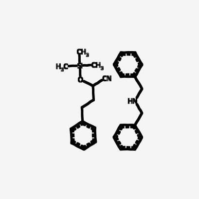 C[Si](C)(C)OC(C#N)CCc1ccccc1.c1ccc(CNCc2ccccc2)cc1